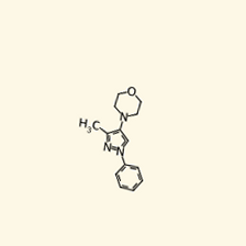 Cc1nn(-c2ccccc2)cc1N1CCOCC1